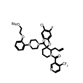 C=CCC1N(C(=O)c2cnccc2C(F)(F)F)CCCC1(Oc1ccc(Cl)c(F)c1)C(=O)N1CCN(c2ccccc2OCCOC)CC1